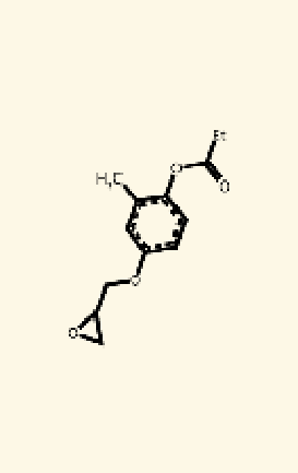 CCC(=O)Oc1ccc(OCC2CO2)cc1C